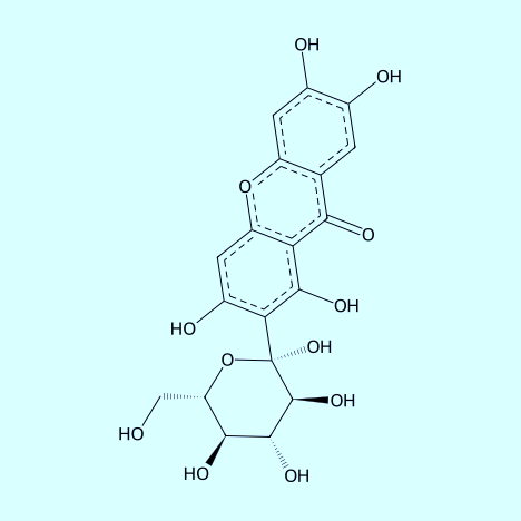 O=c1c2cc(O)c(O)cc2oc2cc(O)c([C@]3(O)O[C@@H](CO)[C@H](O)[C@@H](O)[C@@H]3O)c(O)c12